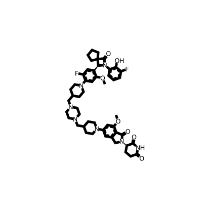 COc1cc(N2CCC(CN3CCN(CC4CCN(c5cc6c(c(OC)c5)C(=O)N([C@H]5CCC(=O)NC5=O)C6)CC4)CC3)CC2)c(F)cc1[C@@H]1N(c2cccc(F)c2O)C(=O)C12CCCC2